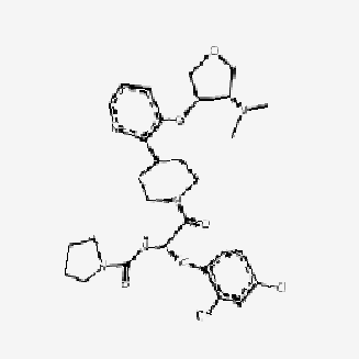 CN(C)[C@@H]1COC[C@@H]1Oc1cccnc1C1CCN(C(=O)[C@@H](Cc2ccc(Cl)cc2Cl)NC(=O)N2CCCC2)CC1